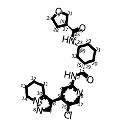 O=C(Nc1cc(-c2cnn3c2CCCC3)c(Cl)cn1)[C@H]1CCC[C@@H](NC(=O)[C@H]2CCOC2)C1